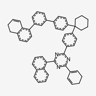 C1=CC(c2nc(-c3ccc(C4(c5ccc(-c6cccc(-c7cccc8c7C=CCC8)c6)cc5)CCCCC4)cc3)nc(-c3cccc4ccccc34)n2)=CCC1